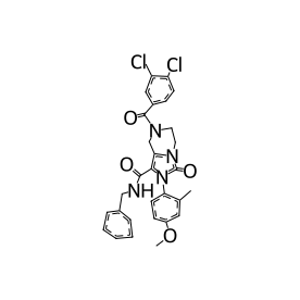 COc1ccc(-n2c(C(=O)NCc3ccccc3)c3n(c2=O)CCN(C(=O)c2ccc(Cl)c(Cl)c2)C3)c(C)c1